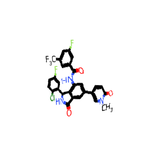 Cn1cc(-c2cc(NC(=O)c3cc(F)cc(C(F)(F)F)c3)c3c(c2)C(=O)NC3c2cc(F)ccc2Cl)ccc1=O